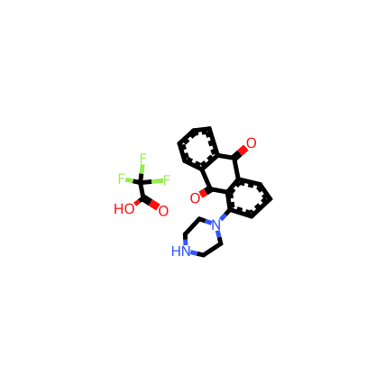 O=C(O)C(F)(F)F.O=C1c2ccccc2C(=O)c2c1cccc2N1CCNCC1